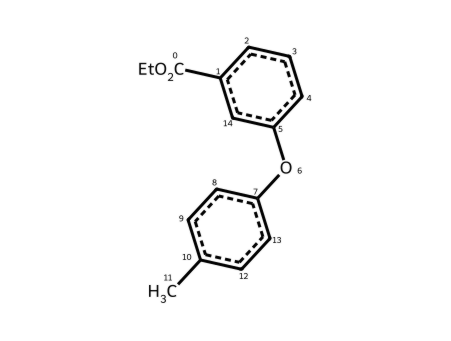 CCOC(=O)c1cccc(Oc2ccc(C)cc2)c1